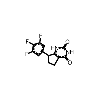 O=c1[nH]c2c(c(=O)[nH]1)CCC2c1cc(F)c(F)c(F)c1